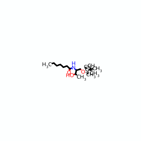 CCCCCCC(=O)NC(CO[Si](C)(C)C(C)(C)C)C(C)O